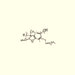 C=CCc1cc2c(cc1O)C(C)(C)C(OC)O2